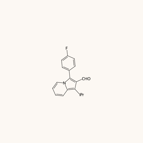 CC(C)c1c(C=O)c(-c2ccc(F)cc2)n2ccccc12